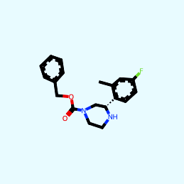 Cc1cc(F)ccc1[C@H]1CN(C(=O)OCc2ccccc2)CCN1